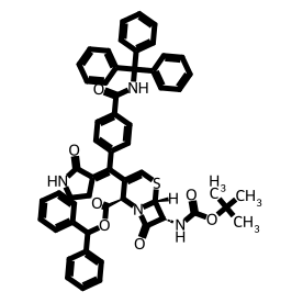 CC(C)(C)OC(=O)N[C@@H]1C(=O)N2[C@@H](C(=O)OC(c3ccccc3)c3ccccc3)C(C(=C3CCNC3=O)c3ccc(C(=O)NC(c4ccccc4)(c4ccccc4)c4ccccc4)cc3)=CS[C@H]12